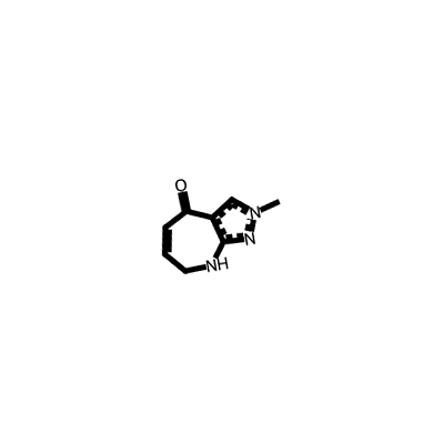 Cn1cc2c(n1)NCC=CC2=O